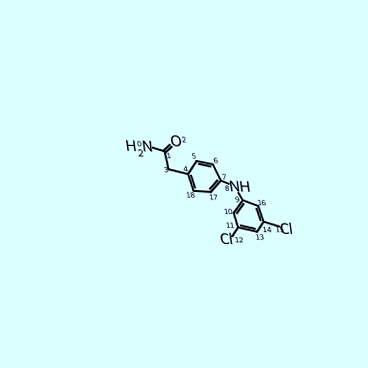 NC(=O)Cc1ccc(Nc2cc(Cl)cc(Cl)c2)cc1